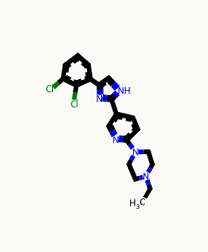 CCN1CCN(c2ccc(-c3nc(-c4cccc(Cl)c4Cl)c[nH]3)cn2)CC1